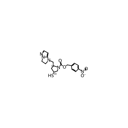 O=C(OCc1ccc([N+](=O)[O-])cc1)N1C[C@@H](S)C[C@H]1CN1CCn2nccc21